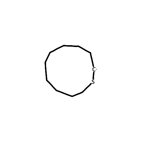 [CH]1CCCCCCCCCS1